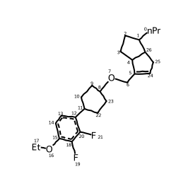 CCCC1CCC2C(COC3CCC(c4ccc(OCC)c(F)c4F)CC3)=CCC12